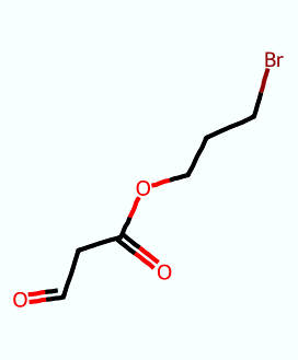 O=CCC(=O)OCCCBr